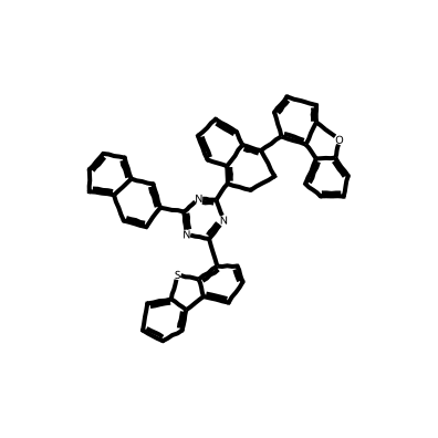 c1ccc2c(c1)=C(c1nc(-c3ccc4ccccc4c3)nc(-c3cccc4c3sc3ccccc34)n1)CCC=2c1cccc2oc3ccccc3c12